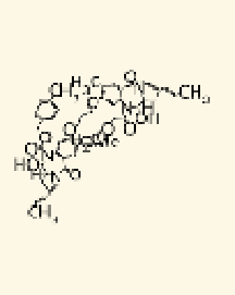 C=COCC(=O)N1c2cc(OCCCOc3cc4c(cc3OC)C(=O)N3C=C(/C=C/C)C[C@H]3[C@H](O)N4C(=O)OCc3ccc(C)cc3)c(C)cc2C(=O)N2C=C(/C=C/C)C[C@H]2[C@@H]1O